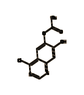 CC(C)(C)C(=O)Oc1cc2c(Cl)ncnc2cc1O